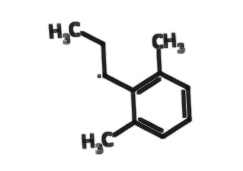 CC[CH]c1c(C)cccc1C